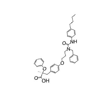 CCCCc1ccc(NC(=O)N(CCCOc2ccc(C[C@](C)(Oc3ccccc3)C(=O)O)cc2)Cc2ccccc2)cc1